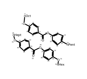 CCCCCCCCOc1ccc(C(=O)Oc2ccc(CCCCC)cc2)cc1.CCCCCCCOc1ccc(C(=O)Oc2ccc(OCCCCCC)cc2)cc1